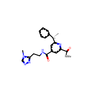 CNC(=O)c1cc(C(=O)NCCc2nncn2C)cc([C@@H](C)c2ccccc2)n1